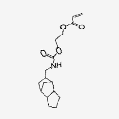 C=CC(=O)OCCOC(=O)NCC1CC2CC1C1CCCC21